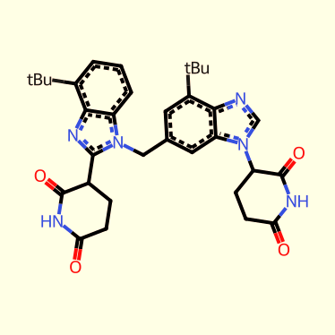 CC(C)(C)c1cc(Cn2c(C3CCC(=O)NC3=O)nc3c(C(C)(C)C)cccc32)cc2c1ncn2C1CCC(=O)NC1=O